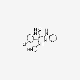 O=c1[nH]c2ccc(Cl)cc2c(NC2CCNC2)c1-c1nc2ccccc2[nH]1